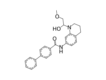 COCC(O)N1CCCc2ccc(NC(=O)c3ccc(-c4ccccc4)cc3)cc21